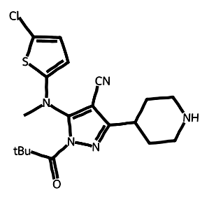 CN(c1ccc(Cl)s1)c1c(C#N)c(C2CCNCC2)nn1C(=O)C(C)(C)C